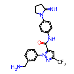 N=C1CCCN1c1ccc(NC(=O)c2cc(C(F)(F)F)nn2-c2cccc(CN)c2)cc1